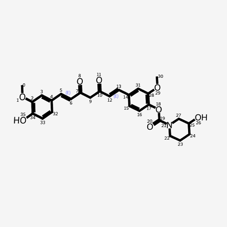 COc1cc(/C=C/C(=O)CC(=O)/C=C/c2ccc(OC(=O)N3CCCC(O)C3)c(OC)c2)ccc1O